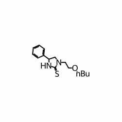 CCCCOCCN1CC(c2ccccc2)NC1=S